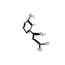 O=C(C=C(Cl)Cl)c1cccc([N+](=O)[O-])c1